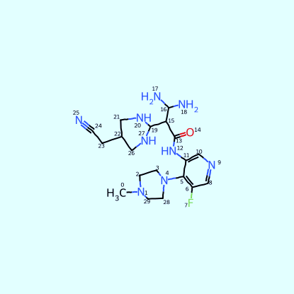 CN1CCN(c2c(F)cncc2NC(=O)C(C(N)N)C2NCC(CC#N)CN2)CC1